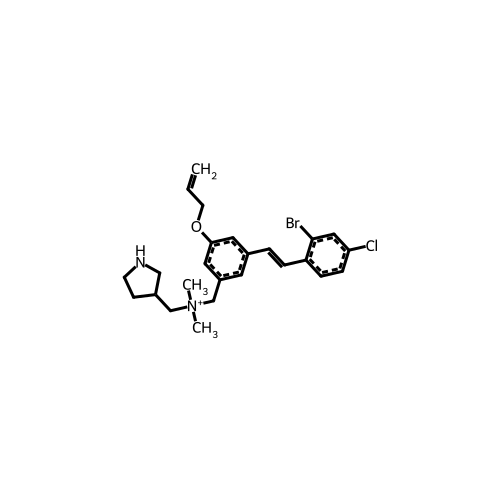 C=CCOc1cc(/C=C/c2ccc(Cl)cc2Br)cc(C[N+](C)(C)CC2CCNC2)c1